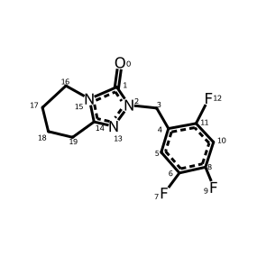 O=c1n(Cc2cc(F)c(F)cc2F)nc2n1CCCC2